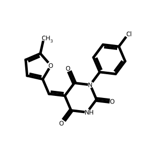 Cc1ccc(C=C2C(=O)NC(=O)N(c3ccc(Cl)cc3)C2=O)o1